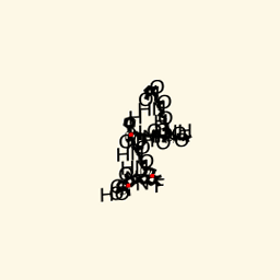 CC[C@@]1(O)C(=O)OCc2c1cc1n(c2=O)Cc2c-1nc1cc(F)c(C)c3c1c2[C@@H](NC(=O)CCNC(=O)CNC(=O)[C@H](Cc1ccccc1)NC(=O)CNC(=O)CNC(=O)[C@H](CC(=O)OC(C)(C)C)NC(=O)CCOCCNC(=O)CCN1C(=O)C=CC1=O)CC3